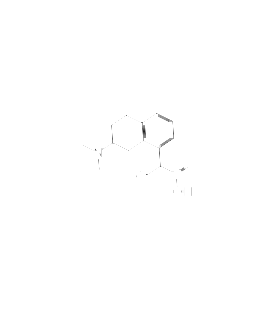 CN(C)C1CCc2cccc(C(Cl)S(=O)O)c2C1